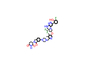 Cc1c(O[C@H]2CN3c4cc(-c5cccc(F)c5O)nnc4NC[C@]3(C(F)F)C2)cnc(CN2CCN(c3ccc4c(c3)C(=O)N([C@H]3CCC(=O)NC3=O)C4)CC2)c1C